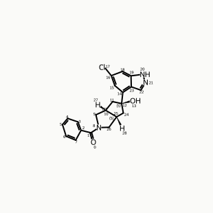 O=C(c1ccccc1)N1C[C@@H]2C[C@](O)(c3cc(Cl)cc4[nH]ncc34)C[C@@H]2C1